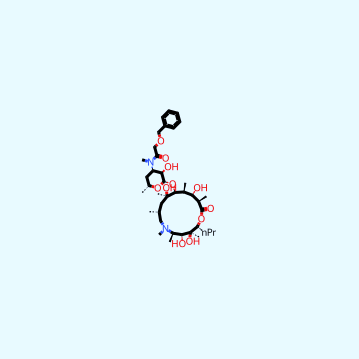 CCC[C@H]1OC(=O)[C@H](C)[C@@H](O)[C@H](C)[C@@H](O[C@@H]2O[C@H](C)C[C@H](N(C)C(=O)COCc3ccccc3)[C@H]2O)[C@](C)(O)C[C@@H](C)CN(C)[C@H](C)[C@@H](O)[C@]1(C)O